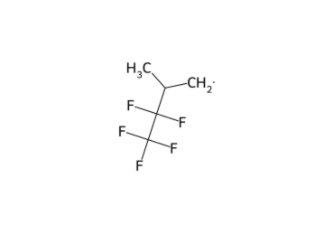 [CH2]C(C)C(F)(F)C(F)(F)F